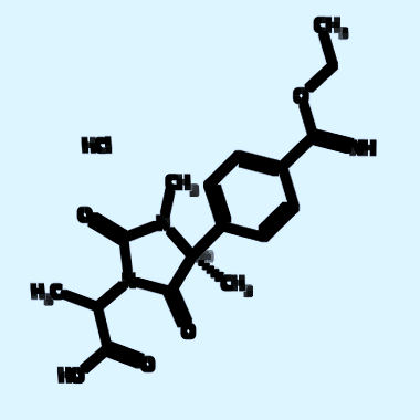 CCOC(=N)c1ccc([C@@]2(C)C(=O)N(C(C)C(=O)O)C(=O)N2C)cc1.Cl